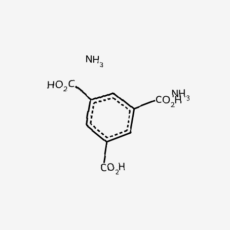 N.N.O=C(O)c1cc(C(=O)O)cc(C(=O)O)c1